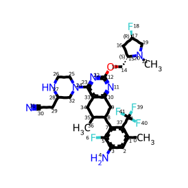 Cc1cc(N)c(F)c(C2Cc3nc(OC[C@@H]4C[C@@H](F)CN4C)nc(N4CCNC(CC#N)C4)c3CC2C)c1C(F)(F)F